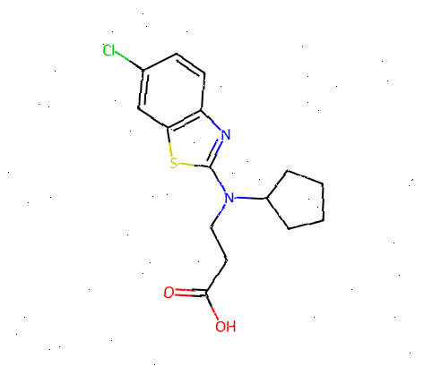 O=C(O)CCN(c1nc2ccc(Cl)cc2s1)C1CCCC1